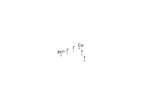 [Co].[I-].[I-].[I-].[I-].[Pt+4]